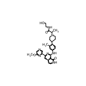 COc1cncc(-c2cc3cc[nH]c(=O)c3c(Nc3ccc(C4CCN(C(C)C(=O)NCCO)CC4)c(C)c3)n2)n1